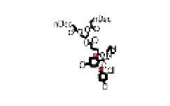 CCCCCCCCCCCC(=O)OCC(COC(=O)CCCCCCCCCCC)OC(=O)CCC(=O)O[C@](Cn1ccnc1)(OCc1ccc(Cl)cc1Cl)c1ccc(Cl)cc1Cl